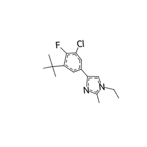 CCn1cc(-c2cc(Cl)c(F)c(C(C)(C)C)c2)nc1C